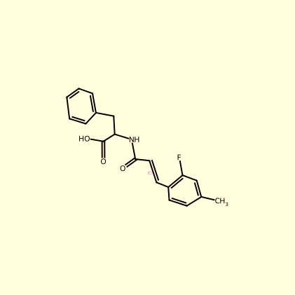 Cc1ccc(/C=C/C(=O)NC(Cc2ccccc2)C(=O)O)c(F)c1